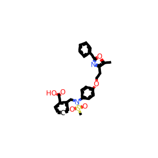 Cc1oc(-c2ccccc2)nc1CCOc1ccc(N(Cc2ccccc2C(=O)O)S(C)(=O)=O)cc1